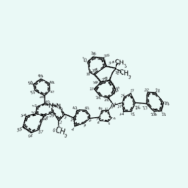 Cc1c(-c2ccc(-c3cccc(N(c4ccc(-c5ccccc5)cc4)c4ccc5c(c4)C(C)(C)c4ccccc4-5)c3)cc2)nn2c(-c3ccccc3)cc3ccccc3c12